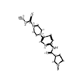 CN1CCC(C(=O)Nc2ccc(N3CCN(C(=O)OC(C)(C)C)CC3)cn2)C1